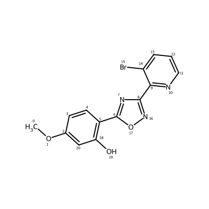 COc1ccc(-c2nc(-c3ncccc3Br)no2)c(O)c1